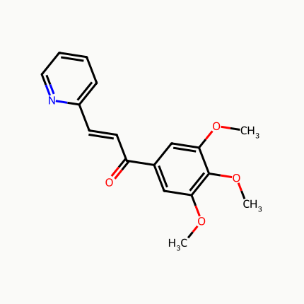 COc1cc(C(=O)C=Cc2ccccn2)cc(OC)c1OC